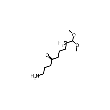 COC(OC)[SiH2]CCCC(=O)CCCN